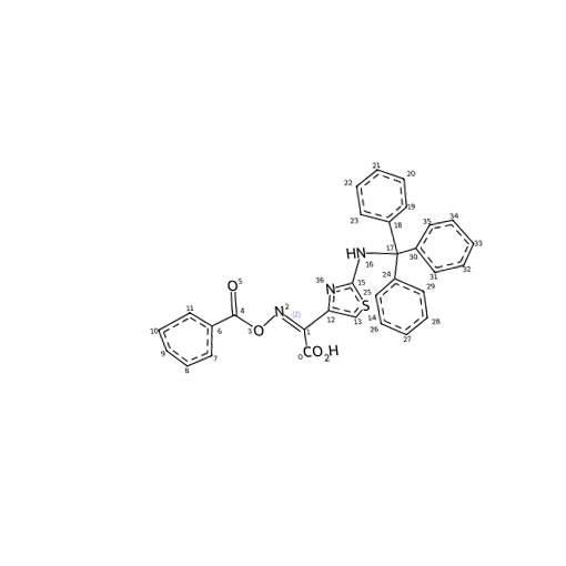 O=C(O)/C(=N\OC(=O)c1ccccc1)c1csc(NC(c2ccccc2)(c2ccccc2)c2ccccc2)n1